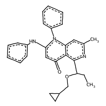 CCC(OCC1CC1)c1nc(C)cc2c1c(=O)cc(Nc1ccccc1)n2-c1ccccc1